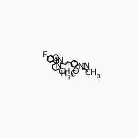 COc1cc(/C=C/C2=NC(=O)C3(c4ccc(F)cc4)CCCC(C)N23)ccc1-n1cnc(C)c1